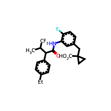 CCc1ccc(C(C(=O)Nc2cc(CC3(C(=O)O)CC3)ccc2F)C(C)C(F)(F)F)cc1